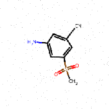 CS(=O)(=O)c1cc(N)cc(C#N)c1